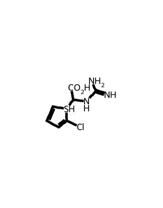 N=C(N)NC(C(=O)O)[SH]1C=CC=C1Cl